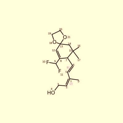 CC(=C/CO)/C=C/C1C(C(F)F)=CC2(CC1(C)C)OCCO2